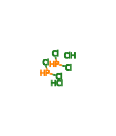 Cl.Cl.ClPCl.ClPCl